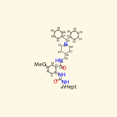 CCCCCCCNC(=O)Nc1ccc(OC)cc1C(=O)NCC1CCN(C(c2ccccc2)c2ccccc2)CC1